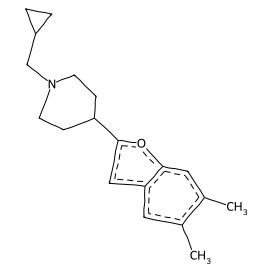 Cc1cc2cc(C3CCN(CC4CC4)CC3)oc2cc1C